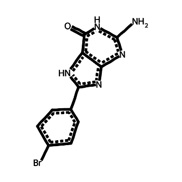 Nc1nc2nc(-c3ccc(Br)cc3)[nH]c2c(=O)[nH]1